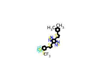 Cc1ccc(-c2ccc(-c3c4c(c(-c5ccc(-c6ccc(S(F)(F)(F)(F)F)c(SC(F)(F)F)c6)s5)c5nsnc35)N=S=N4)s2)cc1C